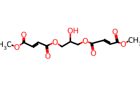 COC(=O)C=CC(=O)OCC(O)COC(=O)C=CC(=O)OC